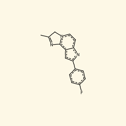 CC1=Nc2c3cc(-c4ccc(F)cc4)nc-3ccn2C1